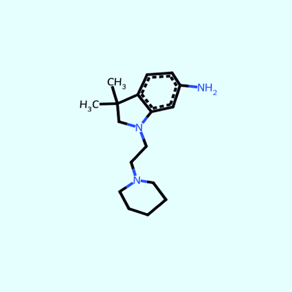 CC1(C)CN(CCN2CCCCC2)c2cc(N)ccc21